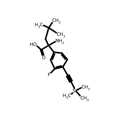 CC(C)(C)CC(N)(C(=O)O)c1ccc(C#C[Si](C)(C)C)c(F)c1